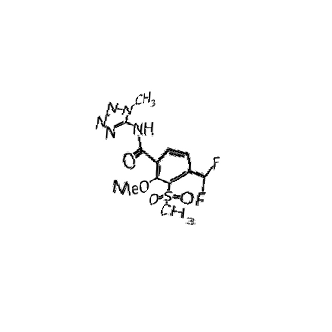 COc1c(C(=O)Nc2nnnn2C)ccc(C(F)F)c1S(C)(=O)=O